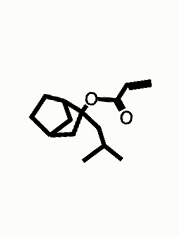 C=CC(=O)OC1(CC(C)C)CC2CCC1C2